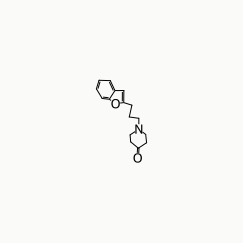 O=C1CCN(CCCc2cc3ccccc3o2)CC1